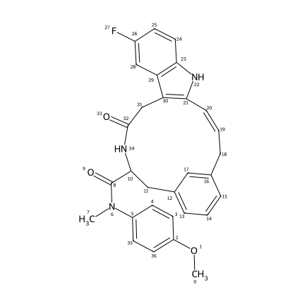 COc1ccc(N(C)C(=O)C2Cc3cccc(c3)C/C=C\c3[nH]c4ccc(F)cc4c3CC(=O)N2)cc1